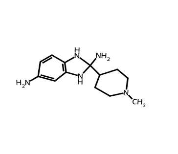 CN1CCC(C2(N)Nc3ccc(N)cc3N2)CC1